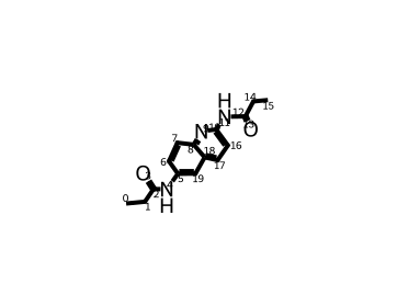 CCC(=O)Nc1ccc2nc(NC(=O)CC)ccc2c1